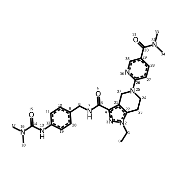 CCn1nc(C(=O)NCc2ccc(NC(=O)N(C)C)cc2)c2c1CCN(c1ccc(C(=O)N(C)C)cn1)C2